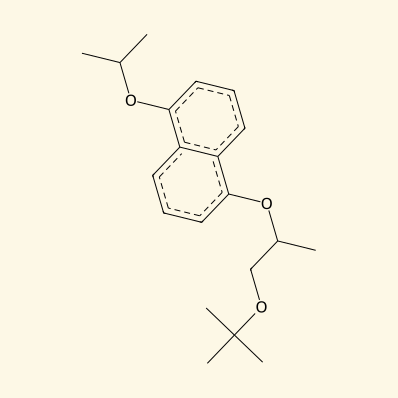 CC(C)Oc1cccc2c(OC(C)COC(C)(C)C)cccc12